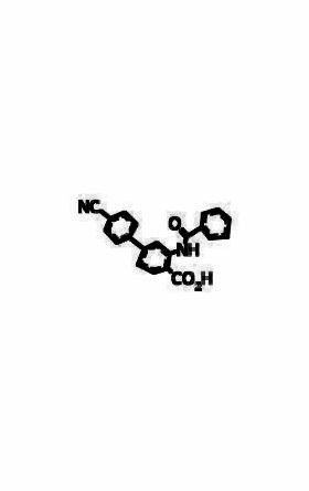 N#Cc1ccc(-c2ccc(C(=O)O)c(NC(=O)c3ccccc3)c2)cc1